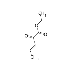 C/C=C/C(=O)C(=O)OCC